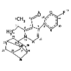 CC(C)C1=C(C=O)C(c2ccc(F)cc2)=CCN1C12CC3CC(CC(C3)C1)C2